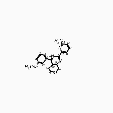 COc1cccc(-c2nc(-c3cccc(C)n3)nc3c2CCOC3)c1